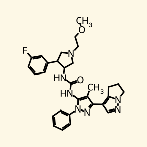 COCCN1CC(NC(=O)Nc2c(C)c(-c3cnn4c3CCC4)nn2-c2ccccc2)C(c2cccc(F)c2)C1